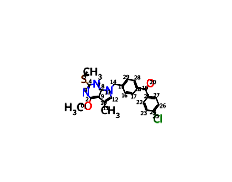 COc1nc(SC)nc2c1c(C)cn2Cc1ccc(C(=O)c2ccc(Cl)cc2)cc1